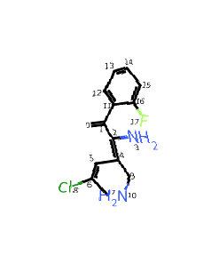 C=C(/C(N)=C(\C=C(/C)Cl)CN)c1ccccc1F